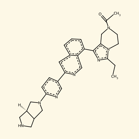 CCc1nc(-c2cccc3cc(-c4ccc(N5CC6CNC[C@H]6C5)nc4)ncc23)c2n1CCN(C(C)=O)C2